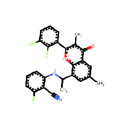 Cc1cc(C(C)Nc2cccc(F)c2C#N)c2oc(-c3cccc(F)c3F)c(C)c(=O)c2c1